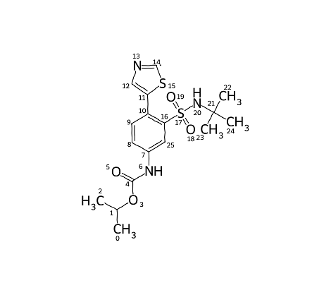 CC(C)OC(=O)Nc1ccc(-c2cn[c]s2)c(S(=O)(=O)NC(C)(C)C)c1